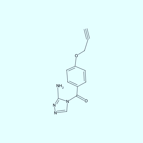 C#CCOc1ccc(C(=O)n2cnnc2N)cc1